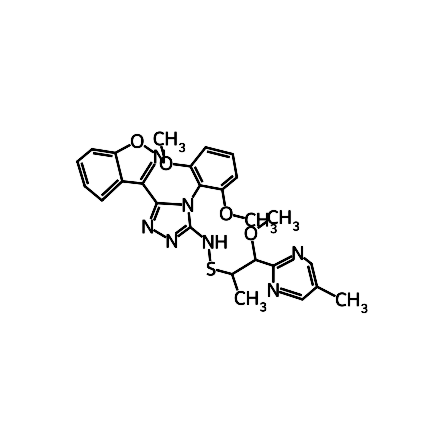 COc1cccc(OC)c1-n1c(NSC(C)C(OC)c2ncc(C)cn2)nnc1-c1noc2ccccc12